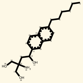 CCCCCCc1ccc2cc(C(O)CC(N)(CO)CO)ccc2c1